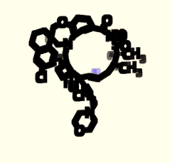 CO[C@@]1(C#CCN2CCOCC2)/C=C/C[C@H](C)[C@@H](C)S(=O)(=O)NC(=O)c2ccc3c(c2)N(C[C@@H]2CC[C@H]21)C[C@@]1(CCCc2cc(Cl)ccc21)CO3